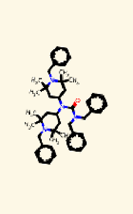 CC1(C)CC(N(C(=O)N(Cc2ccccc2)Cc2ccccc2)C2CC(C)(C)N(Cc3ccccc3)C(C)(C)C2)CC(C)(C)N1Cc1ccccc1